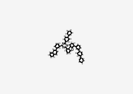 c1ccc(-c2ccc(-c3cccc(-c4cccc5c4oc4cccc(-c6nc(-c7ccc(-c8ccccc8)cc7)nc(-c7cccc(-c8ccc9ccccc9c8)c7)n6)c45)c3)cc2)cc1